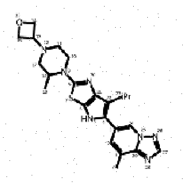 Cc1cc(-c2[nH]c3sc(N4CCN(C5COC5)CC4C)nc3c2C(C)C)cn2ncnc12